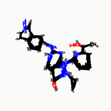 CC(O)c1cccc(-n2c3nc(Nc4ccc5c(c4)CNCC5)ncc3c(=O)n2C2CC2)n1